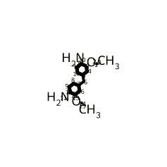 CCOc1cc(Cc2ccc(N)c(OCC)c2)ccc1N